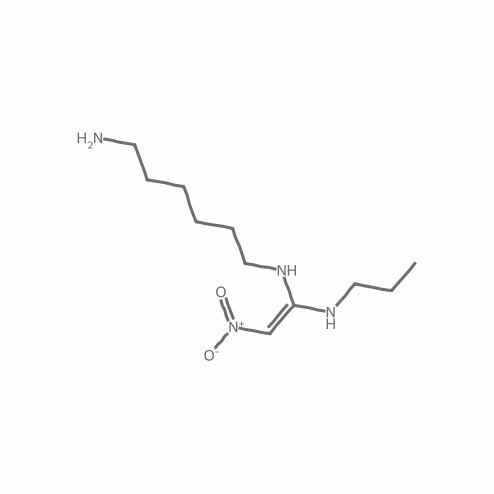 CCCNC(=C[N+](=O)[O-])NCCCCCCN